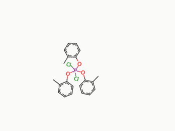 Cc1ccccc1OP(Cl)(Cl)(Oc1ccccc1C)Oc1ccccc1C